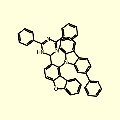 c1ccc(C2=NC(c3ccc4oc5ccccc5c4c3-n3c4ccccc4c4ccc(-c5ccccc5)cc43)NC(c3ccccc3)=N2)cc1